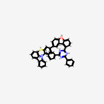 c1ccc(-c2nc(-c3ccccc3)nc(-c3cccc4oc5ccc(-c6ccc7c(c6)Sc6cccc8c9ccccc9n-7c68)cc5c34)n2)cc1